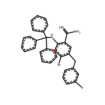 N=C(N)c1cc(Cc2cccc(F)c2)c(Br)cc1NC(c1ccccc1)(c1ccccc1)c1ccccc1